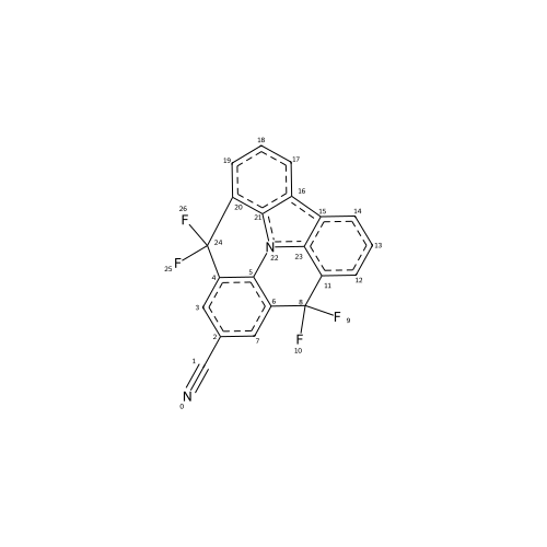 N#Cc1cc2c3c(c1)C(F)(F)c1cccc4c5cccc(c5n-3c14)C2(F)F